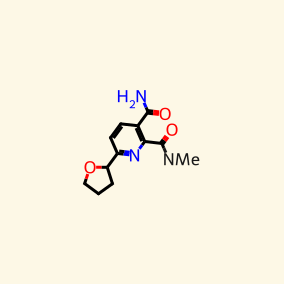 CNC(=O)c1nc(C2CCCO2)ccc1C(N)=O